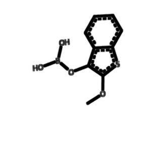 COc1sc2ccccc2c1OB(O)O